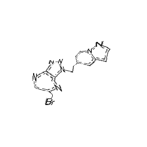 Brc1cnc2nnn(Cc3ccn4nccc4c3)c2n1